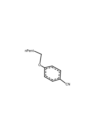 CCCCCCOc1ccc(C#N)cc1